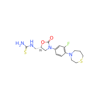 NC(=S)NC[C@H]1CN(c2ccc(N3CCCSCC3)c(F)c2)C(=O)O1